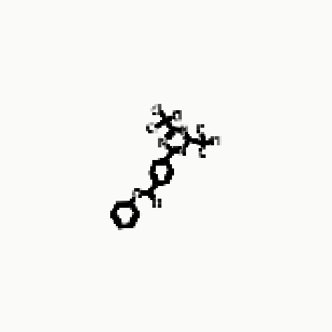 O=C(Oc1ccccc1)c1ccc(-c2nc(C(Cl)(Cl)Cl)nc(C(Cl)(Cl)Cl)n2)cc1